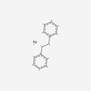 [Ag].c1ccc(CCc2ccccc2)cc1